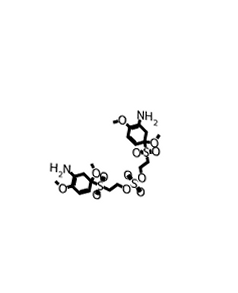 COC1=C(N)CC(OC)(S(=O)(=O)CCOS(=O)(=O)OCCS(=O)(=O)C2(OC)C=CC(OC)=C(N)C2)C=C1